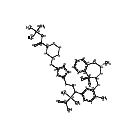 Cc1ccc(C(OCc2cn(CC3CCCN(C(=O)OC(C)(C)C)C3)nn2)C(C)(C)C(=O)O)cc1CN1C[C@@H](C)Oc2ccccc2S1(=O)=O